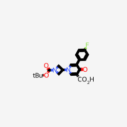 CC(C)(C)OC(=O)N1CC(n2cc(C(=O)O)c(=O)c(-c3ccc(F)cc3)c2)C1